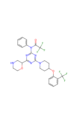 O=C(N(c1ccccc1)c1nc(C2CNCCO2)nc(N2CCC(Oc3ccccc3C(F)(F)F)CC2)n1)C(F)(F)F